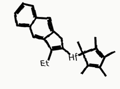 CCC1=[C]([Hf][C]2(C)C(C)=C(C)C(C)=C2C)Cc2cc3ccccc3cc21